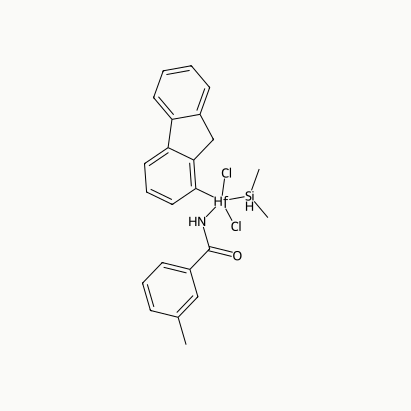 Cc1cccc(C(=O)[NH][Hf]([Cl])([Cl])([c]2cccc3c2Cc2ccccc2-3)[SiH](C)C)c1